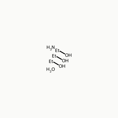 CCO.CCO.CCO.N.O